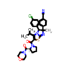 CC(C)C1=C(C(=O)N2CCC[C@H]2C(=O)N2CCOCC2)SC2=NC(C)(c3ccc(C#N)cc3)C(c3ccc(Cl)cc3)N21